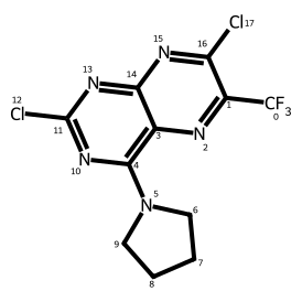 FC(F)(F)c1nc2c(N3CCCC3)nc(Cl)nc2nc1Cl